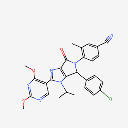 COc1ncc(-c2nc3c(n2C(C)C)C(c2ccc(Cl)cc2)N(c2ccc(C#N)cc2C)C3=O)c(OC)n1